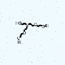 CCOCCOCCN(CCO)CCOCCOCC